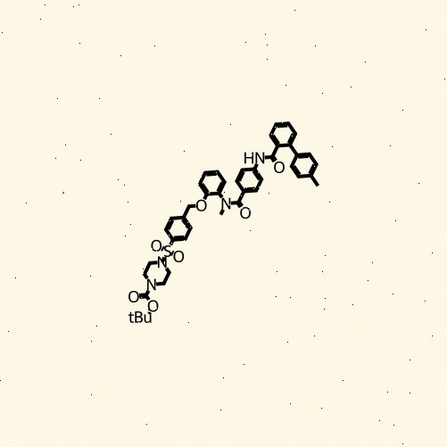 Cc1ccc(-c2ccccc2C(=O)Nc2ccc(C(=O)N(C)c3ccccc3OCc3ccc(S(=O)(=O)N4CCN(C(=O)OC(C)(C)C)CC4)cc3)cc2)cc1